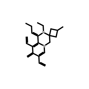 C=CC1=CN2CC3(CC(C)C3)N(CC)C(=CCC)C2=C(C=C)C1=C